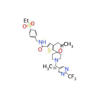 CCS(=O)(=O)c1ccc(CNC(=O)c2cc3c(s2)C2(CCN([C@@H](C)c4cnc(C(F)(F)F)nc4)CC2)O[C@H](C)C3)cc1